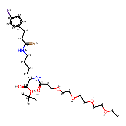 CCOCCOCCOCCOCCC(=O)N[C@@H](CCCCNC(=S)CCc1ccc(I)cc1)C(=O)OC(C)(C)C